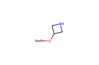 CNOC1CNC1